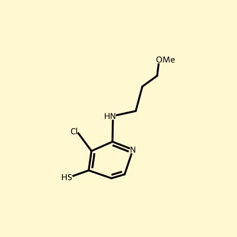 COCCCNc1nccc(S)c1Cl